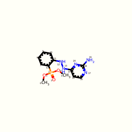 COP(=O)(OC)c1ccccc1NNc1ccnc(N)n1